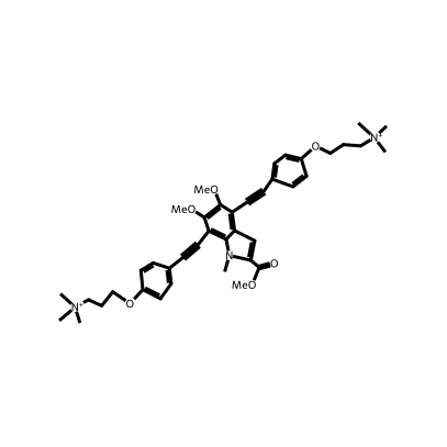 COC(=O)c1cc2c(C#Cc3ccc(OCCC[N+](C)(C)C)cc3)c(OC)c(OC)c(C#Cc3ccc(OCCC[N+](C)(C)C)cc3)c2n1C